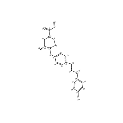 C=CC(=O)N1CCN(Cc2ccc(CCOc3ccc(F)cc3)cc2)[C@@H](C)C1